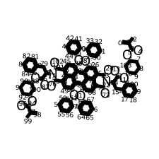 C=C(C)C(=O)OC1CCCC(OC(=O)C(Cc2ccccc2)N2C(=O)c3cc(Oc4ccccc4)c4c5c(Oc6ccccc6)cc6c7c(cc(Oc8ccccc8)c(c8c(Oc9ccccc9)cc(c3c48)C2=O)c75)C(=O)N(C(Cc2ccccc2)C(=O)OC2CCCC(OC(=O)C(=C)C)C2)C6=O)C1